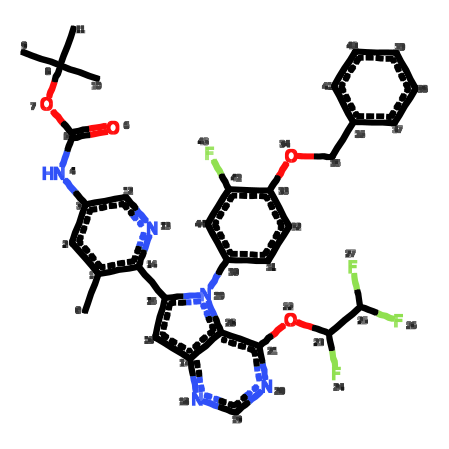 Cc1cc(NC(=O)OC(C)(C)C)cnc1-c1cc2ncnc(OC(F)C(F)F)c2n1-c1ccc(OCc2ccccc2)c(F)c1